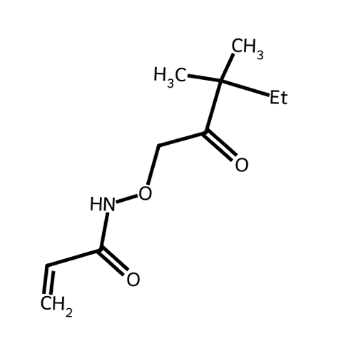 C=CC(=O)NOCC(=O)C(C)(C)CC